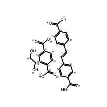 O=C(O)c1ccc(/C=C/c2ccc(C(=O)O)cc2)cc1.O=C(O)c1ccc(C(=O)O)cc1.OCCO